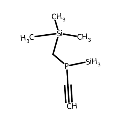 C#CP([SiH3])C[Si](C)(C)C